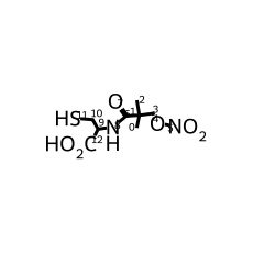 CC(C)(CO[N+](=O)[O-])C(=O)NC(CS)C(=O)O